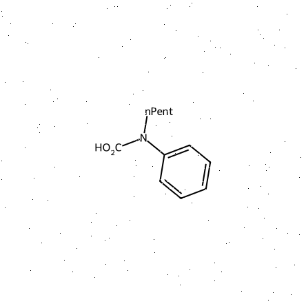 CCCCCN(C(=O)O)c1ccccc1